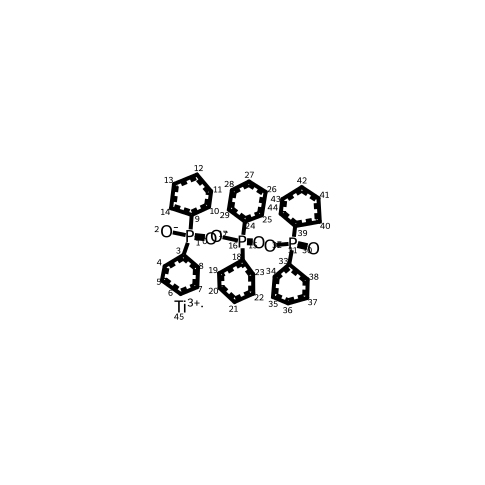 O=P([O-])(c1ccccc1)c1ccccc1.O=P([O-])(c1ccccc1)c1ccccc1.O=P([O-])(c1ccccc1)c1ccccc1.[Ti+3]